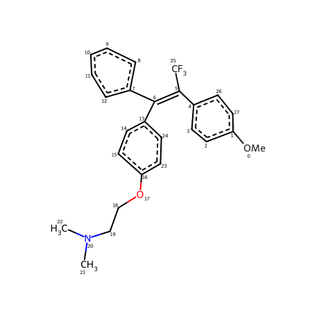 COc1ccc(/C(=C(/c2ccccc2)c2ccc(OCCN(C)C)cc2)C(F)(F)F)cc1